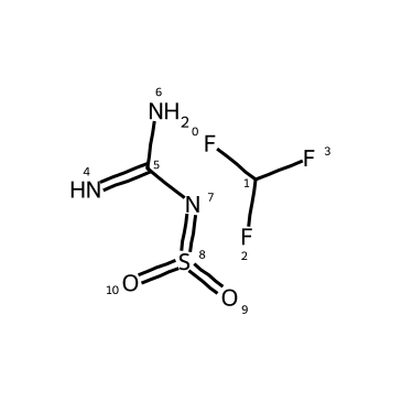 FC(F)F.N=C(N)N=S(=O)=O